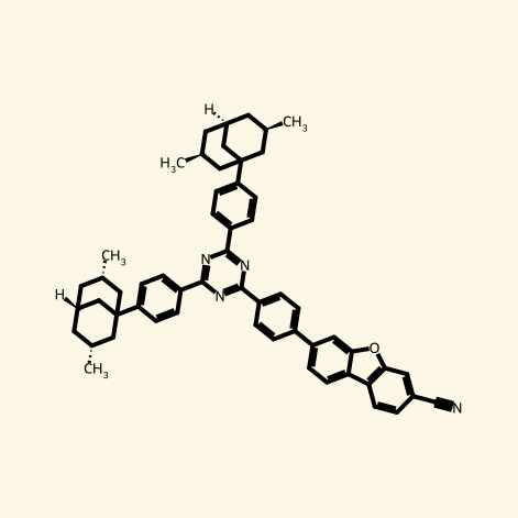 C[C@@H]1C[C@@H]2C[C@H](C)CC(c3ccc(-c4nc(-c5ccc(-c6ccc7c(c6)oc6cc(C#N)ccc67)cc5)nc(-c5ccc(C67C[C@H](C)C[C@H](C[C@H](C)C6)C7)cc5)n4)cc3)(C1)C2